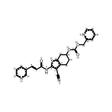 N#Cc1c(NC(=O)/C=C/c2cccnc2)sc2c1CCC(OC(=O)OCc1ccccn1)C2